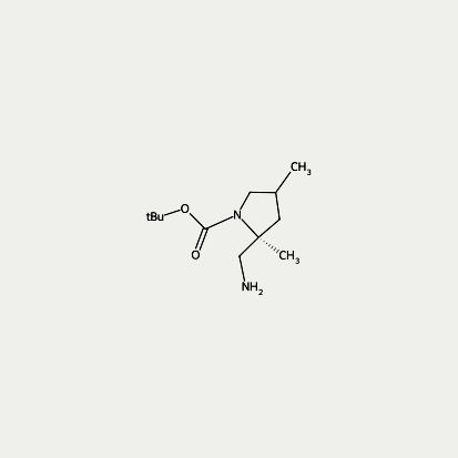 CC1CN(C(=O)OC(C)(C)C)[C@](C)(CN)C1